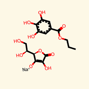 CCCOC(=O)c1cc(O)c(O)c(O)c1.O=C1O[C@H]([C@@H](O)CO)C([O-])=C1O.[Na+]